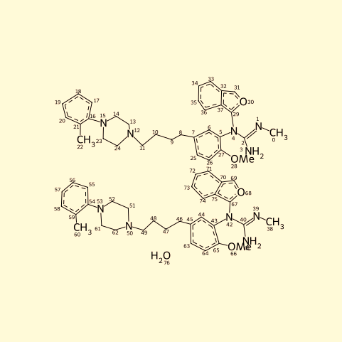 CN=C(N)N(c1cc(CCCCN2CCN(c3ccccc3C)CC2)ccc1OC)c1occ2ccccc12.CN=C(N)N(c1cc(CCCCN2CCN(c3ccccc3C)CC2)ccc1OC)c1occ2ccccc12.O